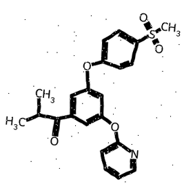 CC(C)C(=O)c1cc(Oc2ccc(S(C)(=O)=O)cc2)cc(Oc2ccccn2)c1